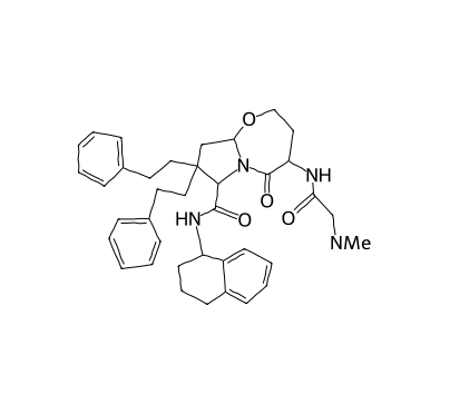 CNCC(=O)NC1CCOC2CC(CCc3ccccc3)(CCc3ccccc3)C(C(=O)NC3CCCc4ccccc43)N2C1=O